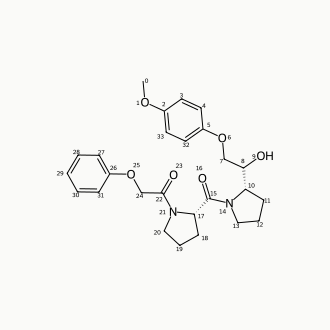 COc1ccc(OCC(O)[C@@H]2CCCN2C(=O)[C@@H]2CCCN2C(=O)COc2ccccc2)cc1